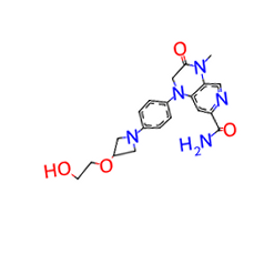 CN1C(=O)CN(c2ccc(N3CC(OCCO)C3)cc2)c2cc(C(N)=O)ncc21